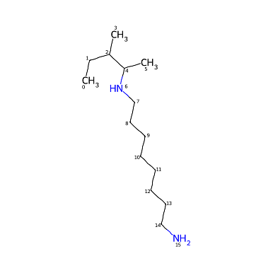 CCC(C)C(C)NCCCCCCCCN